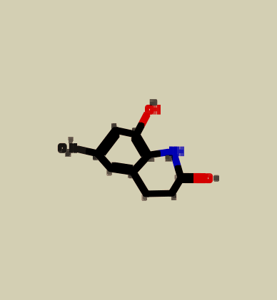 O=C1CCc2cc([N+](=O)[O-])cc(O)c2N1